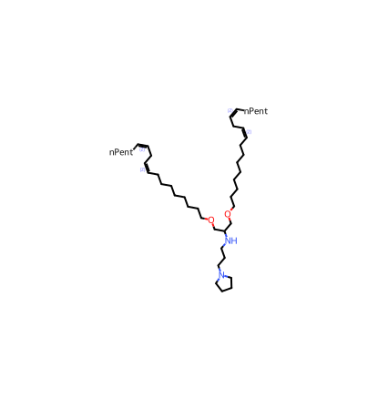 CCCCC/C=C\C/C=C\CCCCCCCCOCC(COCCCCCCCC/C=C\C/C=C\CCCCC)NCCCN1CCCC1